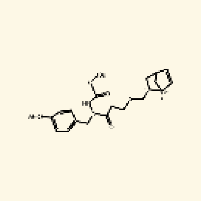 COc1ccc(CN(NC(=O)OC(C)(C)C)C(=O)CCSC[C@H]2CC3C=C[C@@H]2C3)cc1